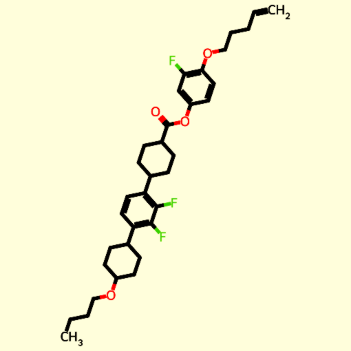 C=CCCCOc1ccc(OC(=O)C2CCC(c3ccc(C4CCC(OCCCC)CC4)c(F)c3F)CC2)cc1F